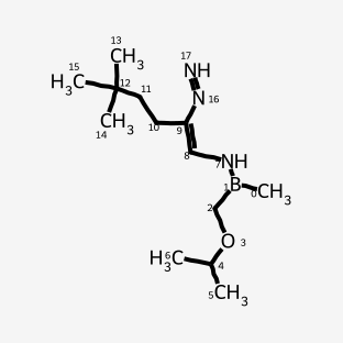 CB(COC(C)C)N/C=C(/CCC(C)(C)C)N=N